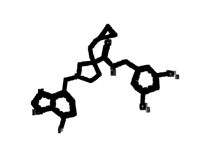 O=C(NCc1cc(C(F)(F)F)cc(C(F)(F)F)c1)C1(CC2CC2)CCN(Cc2ccc(F)c3[nH]cnc23)C1